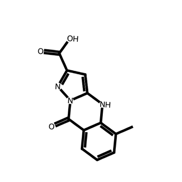 Cc1cccc2c(=O)n3nc(C(=O)O)cc3[nH]c12